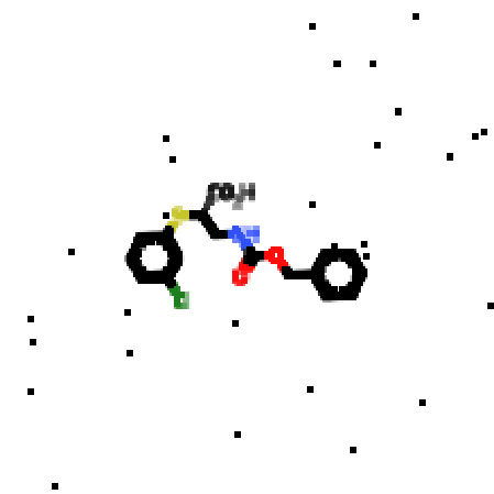 O=C(NC[C@H](Sc1cccc(Cl)c1)C(=O)O)OCc1ccccc1